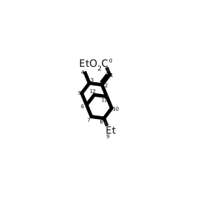 CCOC(=O)/C=C1\C(C)CC2CC(CC)CC1C2